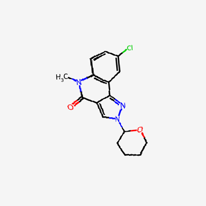 Cn1c(=O)c2cn(C3CCCCO3)nc2c2cc(Cl)ccc21